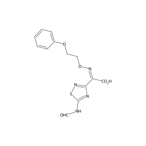 O=CNc1nc(C(=NOCCOc2ccccc2)C(=O)O)ns1